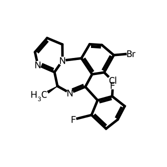 C[C@@H]1N=C(c2c(F)cccc2F)c2c(ccc(Br)c2Cl)N2CC=CN=C12